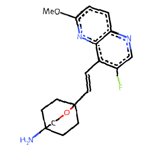 COc1ccc2ncc(F)c(/C=C/C34CCC(N)(CC3)CO4)c2n1